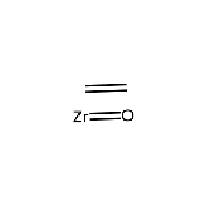 C=C.[O]=[Zr]